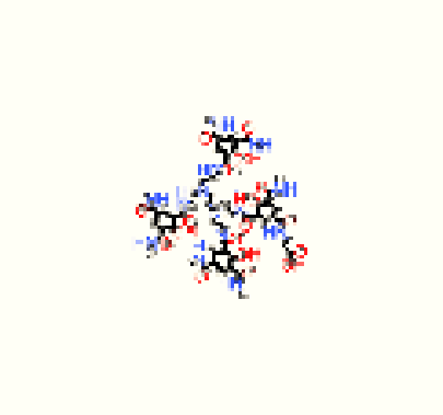 CNC(=O)c1cc(C(=O)NC)c(O)c(C(=O)NCCN(CCNC(=O)c2cc(C(=O)NC)cc(C(=O)NC)c2O)CCN(CCNC(=O)c2cc(C(=O)NC)cc(C(=O)NC)c2O)CCNC(=O)c2cc(C(=O)NCCC(=O)O)cc(C(=O)NC)c2O)c1